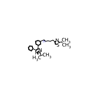 CC(C)c1nc(CCC/C=C/c2cccc(-c3nn(C(C)C)nc3-c3ccccc3)c2)cs1